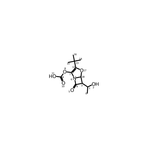 CC(O)C1C(=O)N2C(OC(=O)O)=C(C(C)(C)C)OC12